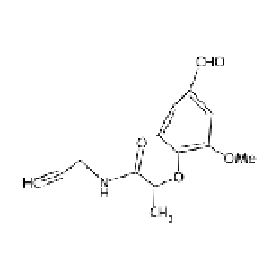 C#CCNC(=O)C(C)Oc1ccc(C=O)cc1OC